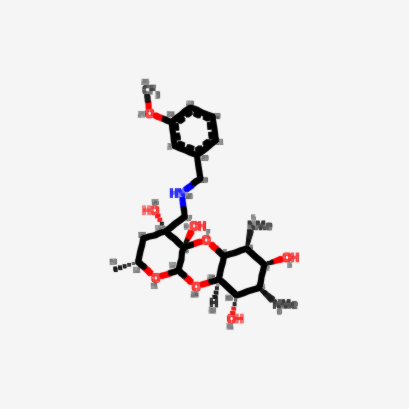 CN[C@@H]1[C@H](O)[C@H](NC)C2O[C@]3(O)C(O[C@H](C)C[C@@]3(O)CNCc3cccc(OC(F)(F)F)c3)O[C@@H]2[C@H]1O